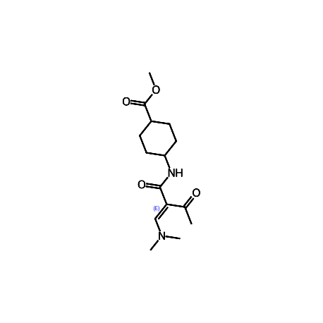 COC(=O)C1CCC(NC(=O)/C(=C/N(C)C)C(C)=O)CC1